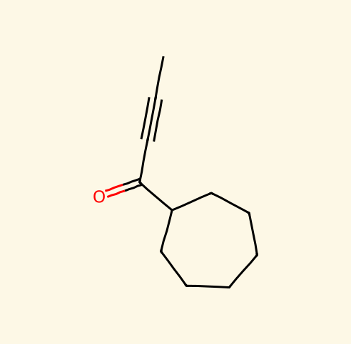 CC#CC(=O)C1CCCCCC1